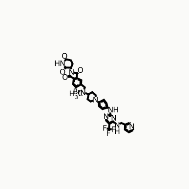 CN(Cc1cc2c(cc1Br)C(=O)N(C1CCC(=O)NC1=O)C2=O)C1CCN(c2ccc(Nc3ncc(C(F)(F)F)c(NCc4cccnc4)n3)cc2)CC1